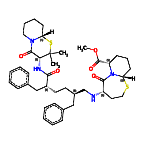 COC(=O)[C@@H]1CCC[C@@H]2SCC[C@H](NC[C@H](CC[C@H](Cc3ccccc3)C(=O)N[C@@H]3C(=O)N4CCCC[C@@H]4SC3(C)C)Cc3ccccc3)C(=O)N21